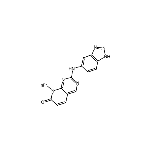 CCCn1c(=O)ccc2cnc(Nc3ccc4[nH]nnc4c3)nc21